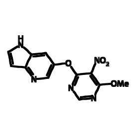 COc1ncnc(Oc2cnc3cc[nH]c3c2)c1[N+](=O)[O-]